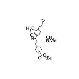 CNC.Cc1c(C=CC2CC2)ccc2c(CCC3CCN(C(=O)OC(C)(C)C)CC3)noc12